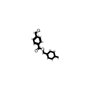 CC1CCC(COC(=O)c2ccc(C=O)cc2)CC1